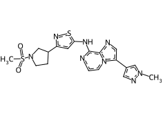 Cn1cc(-c2cnc3c(Nc4cc(C5CCN(S(C)(=O)=O)C5)ns4)nccn23)cn1